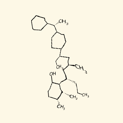 CCC[C@@H](C[C@H](C)CC(CC)C1CCC([C@@H](C)C2CCCCC2)CC1)C1C(O)CC[C@@H](C)[C@H]1C